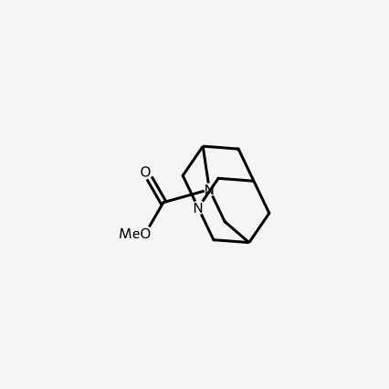 COC(=O)N1CC2CC3CC1CN(C3)C2